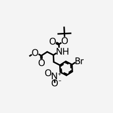 COC(=O)CC(Cc1cc(Br)ccc1[N+](=O)[O-])NC(=O)OC(C)(C)C